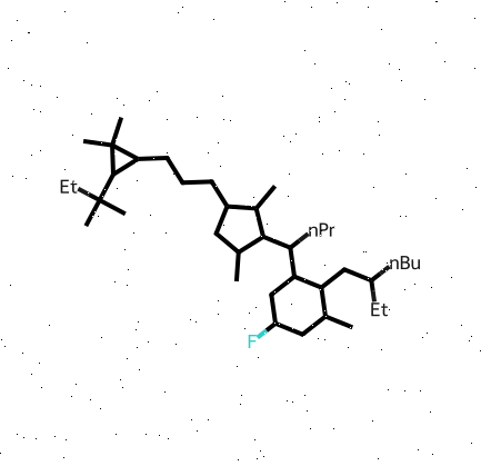 CCCCC(CC)CC1C(C)CC(F)CC1C(CCC)C1C(C)CC(CCCC2C(C(C)(C)CC)C2(C)C)C1C